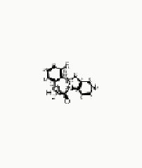 NC(=O)N1c2ccn[c]c2CN1c1c(F)cccc1Cl